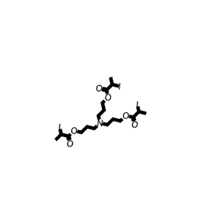 CC(I)C(=O)OCCCN(CCCOC(=O)C(C)I)CCCOC(=O)C(C)I